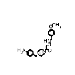 COc1ccc(CNOCC(=O)N2CCN(Cc3ccc(N)cc3)CC2)cc1